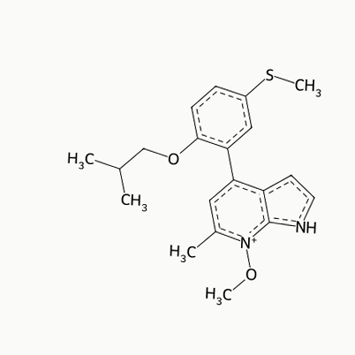 CO[n+]1c(C)cc(-c2cc(SC)ccc2OCC(C)C)c2cc[nH]c21